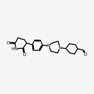 O=CC1CCC(N2CCN(c3ccc(C4CCC(=O)NC4=O)cc3)CC2)CC1